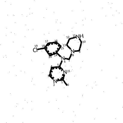 Cc1nccc(N(CN2CCNCC2)c2cccc(Cl)c2)n1